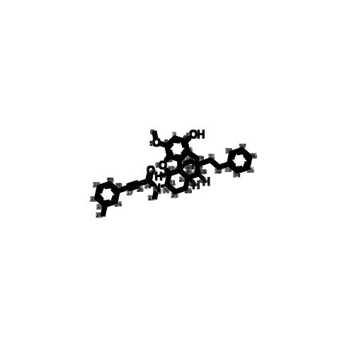 COc1cc(O)c2c3c1O[C@H]1[C@@H](N(C)C(=O)C#Cc4cccc(C)c4)CC[C@H]4[C@@H](C2)N(CCc2ccccc2)CC[C@@]341